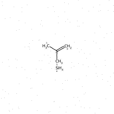 C=C(C)C.[SiH4]